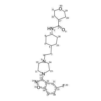 O=C(NC1CCC(CCN2CCN(c3noc4ccc(F)cc34)CC2)CC1)C1CCOCC1